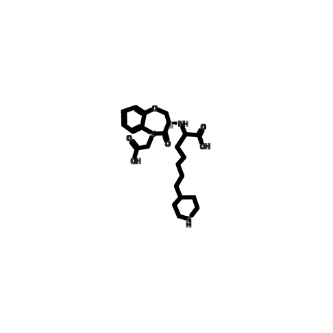 O=C(O)CN1C(=O)[C@@H](NC(CCCCCC2CCNCC2)C(=O)O)COc2ccccc21